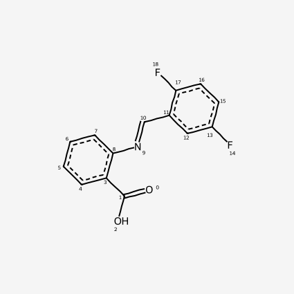 O=C(O)c1ccccc1/N=C/c1cc(F)ccc1F